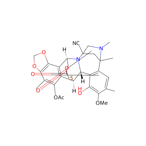 COc1c(C)cc2c(c1O)[C@@H]1[C@@H]3SCC(=O)C(=O)OC[C@@H](c4c5c(c(C)c(OC(C)=O)c43)OCO5)N1C1(C#N)CN(C)C2(C)C1